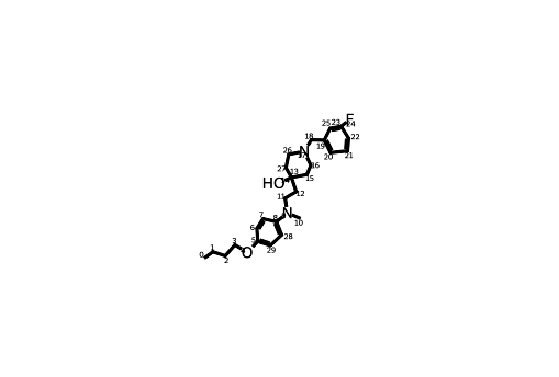 CCCCOc1ccc(N(C)CCC2(O)CCN(Cc3cccc(F)c3)CC2)cc1